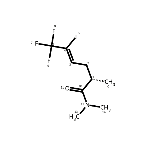 C[C@@H](C/C=C(\I)C(F)(F)F)C(=O)N(C)C